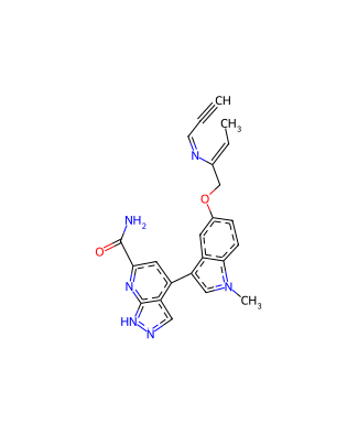 C#C/C=N\C(=C/C)COc1ccc2c(c1)c(-c1cc(C(N)=O)nc3[nH]ncc13)cn2C